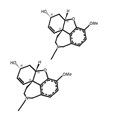 COc1ccc2c3c1O[C@H]1C[C@@H](O)C=C[C@@]31CCN(C)C2.COc1ccc2c3c1O[C@H]1C[C@@H](O)C=C[C@@]31CCN(C)C2